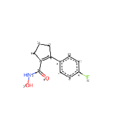 O=C(NO)C1=C(c2ccc(F)cc2)CCC1